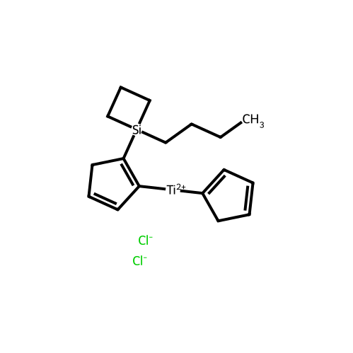 CCCC[Si]1(C2=[C]([Ti+2][C]3=CC=CC3)C=CC2)CCC1.[Cl-].[Cl-]